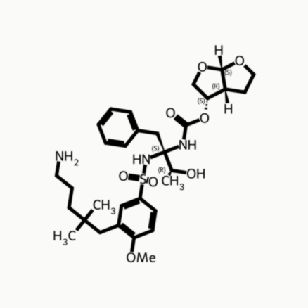 COc1ccc(S(=O)(=O)N[C@](Cc2ccccc2)(NC(=O)O[C@@H]2CO[C@@H]3OCC[C@@H]32)[C@@H](C)O)cc1CC(C)(C)CCCN